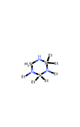 CCN1[SiH2]N[Si](CC)(CC)N(CC)[Si]1(CC)CC